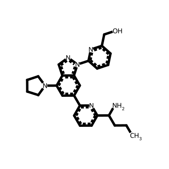 CCCC(N)c1cccc(-c2cc(N3CCCC3)c3cnn(-c4cccc(CO)n4)c3c2)n1